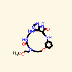 COCCN1CCCOc2cccc(c2)N/C=C2\C(=O)Nc3ncnc(c32)NCCNC(=O)C1